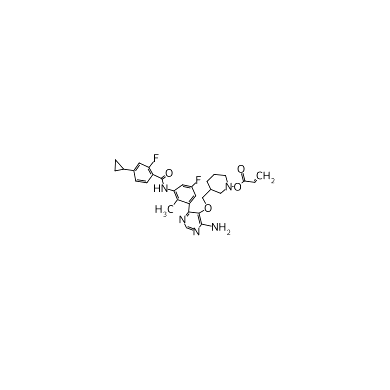 C=CC(=O)ON1CCCC(COc2c(N)ncnc2-c2cc(F)cc(NC(=O)c3ccc(C4CC4)cc3F)c2C)C1